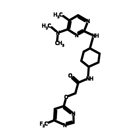 Cc1cnc(NC2CCC(NC(=O)COc3cc(C(F)(F)F)ncn3)CC2)nc1N(C)C